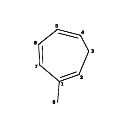 CC1=CCC=CC=C1